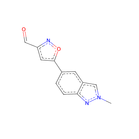 Cn1cc2cc(-c3cc(C=O)no3)ccc2n1